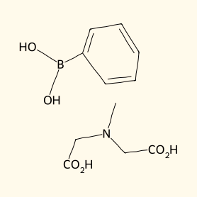 CN(CC(=O)O)CC(=O)O.OB(O)c1ccccc1